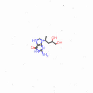 CC(CC(O)CO)N1CNc2c1nc(N)[nH]c2=O